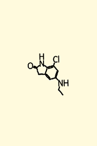 CCNc1cc(Cl)c2c(c1)CC(=O)N2